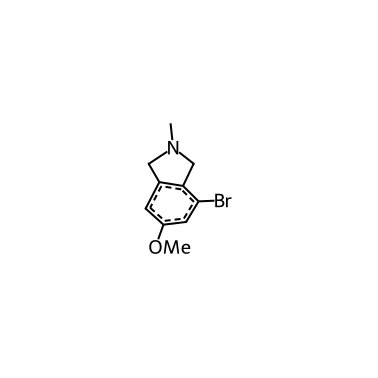 COc1cc(Br)c2c(c1)CN(C)C2